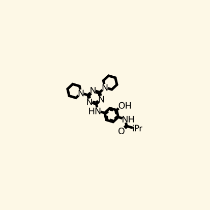 CC(C)C(=O)Nc1ccc(Nc2nc(N3CCCCC3)nc(N3CCCCC3)n2)cc1O